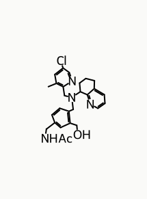 CC(=O)NCc1ccc(CN(Cc2ncc(Cl)cc2C)C2CCCc3cccnc32)c(CO)c1